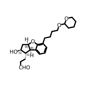 O=CCC[C@H]1[C@@H]2c3cccc(CCCCOC4CCCCO4)c3O[C@@H]2C[C@@H]1O